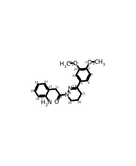 COc1ccc(C2=NN(C(=O)Cc3ccccc3N)CCC2)cc1OC